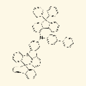 c1ccc(-c2ccc(N(c3ccc4c(c3)c3cccc5c3n4-c3ccccc3C53c4ccccc4-c4ccccc43)c3cccc4c3-c3ccccc3C4(c3ccccc3)c3ccccc3)cc2)cc1